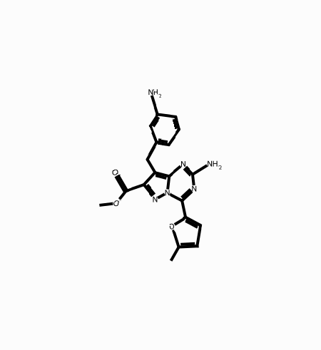 COC(=O)c1nn2c(-c3ccc(C)o3)nc(N)nc2c1Cc1cccc(N)c1